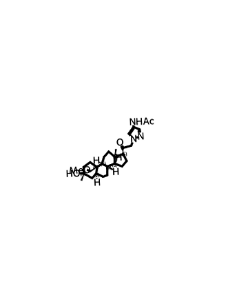 COC[C@]12CC[C@@](C)(O)C[C@@H]1CC[C@H]1[C@@H]3CC[C@H](C(=O)Cn4cc(NC(C)=O)cn4)[C@@]3(C)CC[C@@H]12